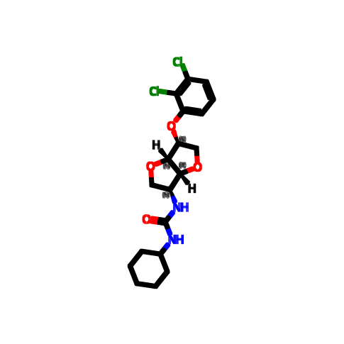 O=C(NC1CCCCC1)N[C@H]1CO[C@H]2[C@@H]1OC[C@@H]2Oc1cccc(Cl)c1Cl